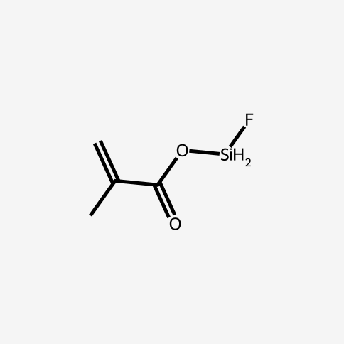 C=C(C)C(=O)O[SiH2]F